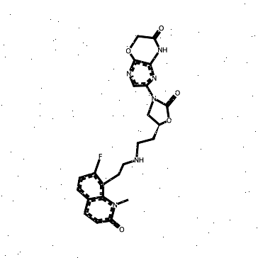 Cn1c(=O)ccc2ccc(F)c(CCNCC[C@H]3CN(c4cnc5c(n4)NC(=O)CO5)C(=O)O3)c21